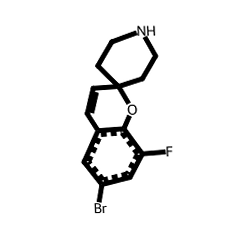 Fc1cc(Br)cc2c1OC1(C=C2)CCNCC1